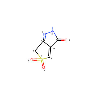 O=C1NN=C2CS(=O)(=O)C=C12